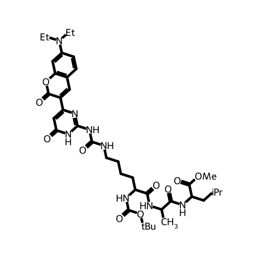 CCN(CC)c1ccc2cc(-c3cc(=O)[nH]c(NC(=O)NCCCCC(NC(=O)OC(C)(C)C)C(=O)NC(C)C(=O)NC(CC(C)C)C(=O)OC)n3)c(=O)oc2c1